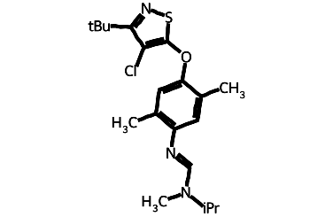 Cc1cc(Oc2snc(C(C)(C)C)c2Cl)c(C)cc1N=CN(C)C(C)C